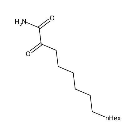 CCCCCCCCCCCCC(=O)C(N)=O